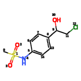 CS(=O)(=O)Nc1ccc(C(O)CCl)cc1